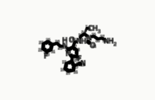 CC[C@H](CNC(=O)c1cc(F)c(-c2ccccc2C#N)nc1NCCc1cccc(F)c1)N(C=O)CCCN